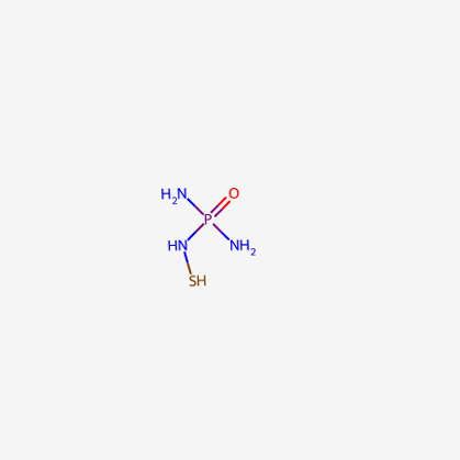 NP(N)(=O)NS